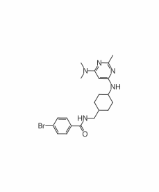 Cc1nc(NC2CCC(CNC(=O)c3ccc(Br)cc3)CC2)cc(N(C)C)n1